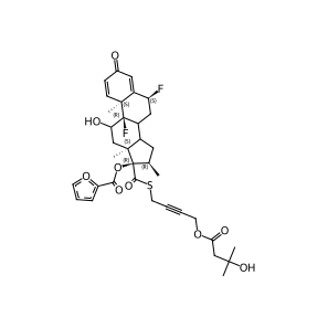 C[C@@H]1CC2C3C[C@H](F)C4=CC(=O)C=C[C@]4(C)[C@@]3(F)C(O)C[C@]2(C)[C@@]1(OC(=O)c1ccco1)C(=O)SCC#CCOC(=O)CC(C)(C)O